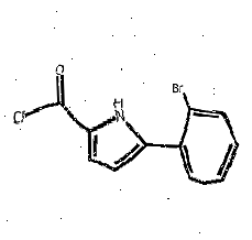 O=C(Cl)c1ccc(-c2ccccc2Br)[nH]1